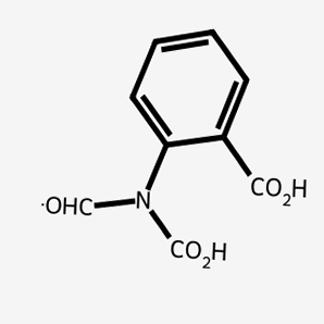 O=[C]N(C(=O)O)c1ccccc1C(=O)O